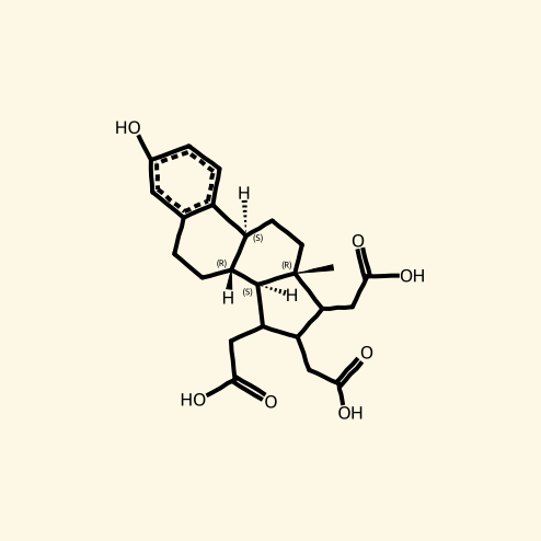 C[C@]12CC[C@@H]3c4ccc(O)cc4CC[C@H]3[C@@H]1C(CC(=O)O)C(CC(=O)O)C2CC(=O)O